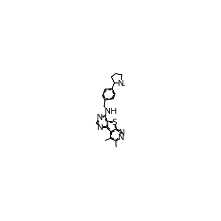 Cc1nnc2sc3c(NCc4ccc(C5CCCN5C)cc4)ncnc3c2c1C